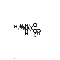 CN1CC(Nc2nc(-c3cc(Cl)c4ncccc4c3)c(-c3ccccc3)nc2N)C1